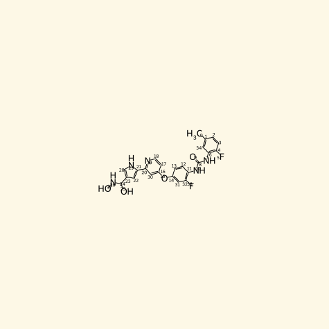 Cc1ccc(F)c(NC(=O)Nc2ccc(Oc3ccnc(-c4cc(C(O)NO)c[nH]4)c3)cc2F)c1